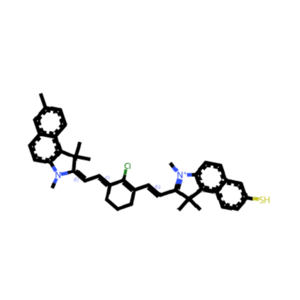 Cc1ccc2c3c(ccc2c1)N(C)/C(=C/C=C1\CCCC(/C=C/C2=[N+](C)c4ccc5cc(S)ccc5c4C2(C)C)=C1Cl)C3(C)C